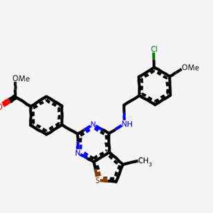 COC(=O)c1ccc(-c2nc(NCc3ccc(OC)c(Cl)c3)c3c(C)csc3n2)cc1